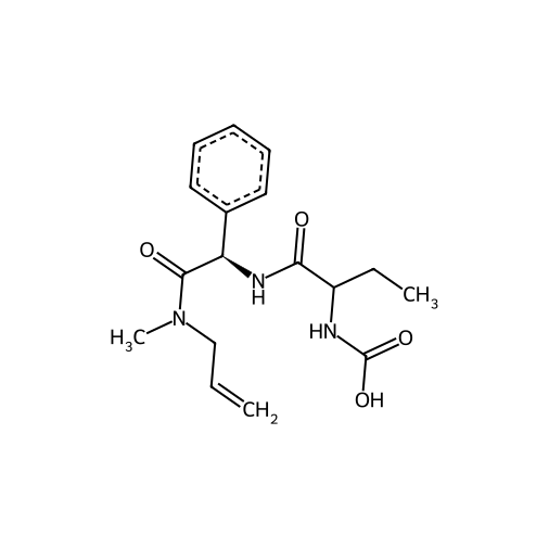 C=CCN(C)C(=O)[C@H](NC(=O)C(CC)NC(=O)O)c1ccccc1